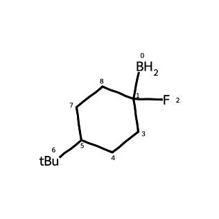 BC1(F)CCC(C(C)(C)C)CC1